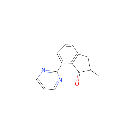 CC1Cc2cccc(-c3ncccn3)c2C1=O